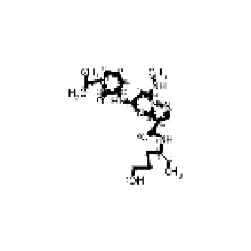 CC[C@H](CCCO)NC(=O)c1cnn2c(NC)cc(Nc3cccn(C(C)C)c3=O)nc12